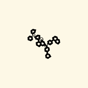 c1ccc(-c2ccc(N(c3ccc(-c4cccc5ccccc45)cc3)c3cc4c5c(cccc5c3)-c3cc(N(c5ccccc5)c5ccccc5)ccc3O4)cc2)cc1